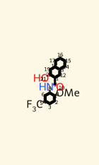 COc1ccc(C(F)(F)F)cc1NC(=O)c1cc2ccccc2cc1O